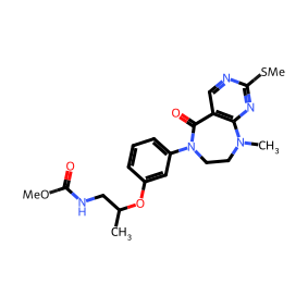 COC(=O)NCC(C)Oc1cccc(N2CCN(C)c3nc(SC)ncc3C2=O)c1